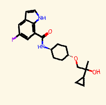 CC(O)(CO[C@H]1CC[C@H](NC(=O)c2cc(I)cc3cc[nH]c23)CC1)C1CC1